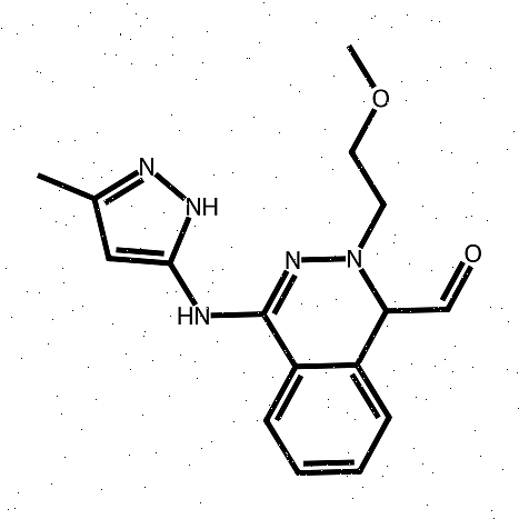 COCCN1N=C(Nc2cc(C)n[nH]2)c2ccccc2C1C=O